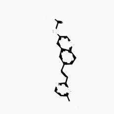 Cc1ccnc(/C=C/c2ccc3ncc(NC(=O)O)cc3c2)n1